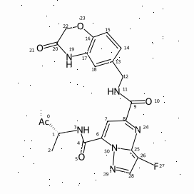 CC(=O)[C@@H](C)NC(=O)c1cc(C(=O)NCc2ccc3c(c2)NC(=O)CO3)nc2c(F)cnn12